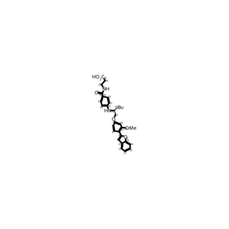 CC[C@H](C)[C@@H](COc1ccc(-c2cc3ccccc3o2)c(OC)c1)Nc1ccc(C(=O)NCCC(=O)O)cc1